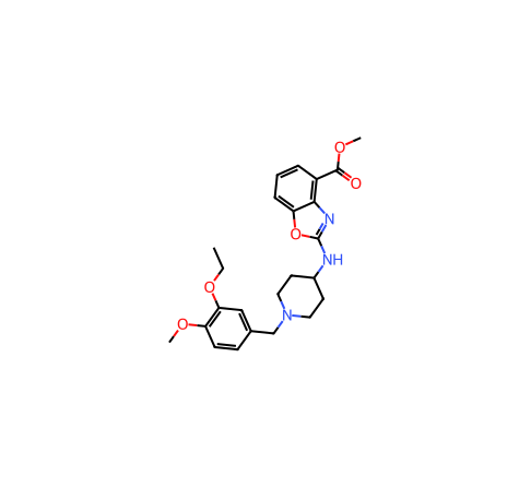 CCOc1cc(CN2CCC(Nc3nc4c(C(=O)OC)cccc4o3)CC2)ccc1OC